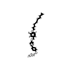 CCCCCCCCOc1ccc(-c2ncc(OCc3ccc(OCCCCCCCCC4CC4)c(F)c3F)cn2)cc1